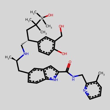 Cc1cccnc1CNC(=O)c1cc2cc(C[C@@H](C)NC[C@H](CC(C)(C)[Si](C)(C)O)c3ccc(O)c(CO)c3)ccc2[nH]1